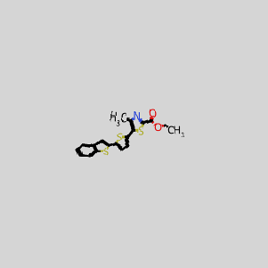 CCOC(=O)c1nc(C)c(-c2ccc(-c3cc4ccccc4s3)s2)s1